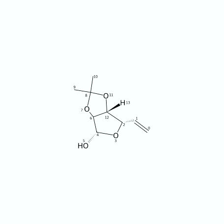 C=C[C@@H]1O[C@H](O)C2OC(C)(C)O[C@@H]21